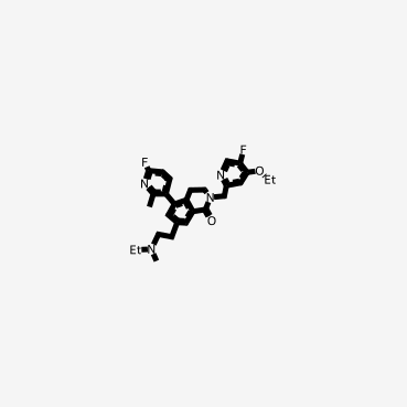 CCOc1cc(CN2CCc3c(cc(CCN(C)CC)cc3-c3ccc(F)nc3C)C2=O)ncc1F